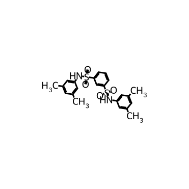 Cc1cc(C)cc(NS(=O)(=O)c2cccc(S(=O)(=O)Nc3cc(C)cc(C)c3)c2)c1